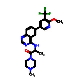 COc1ncc(-c2ccc3ncnc(NC(C)C(=O)N4CCN(C)CC4)c3c2)cc1C(F)(F)F